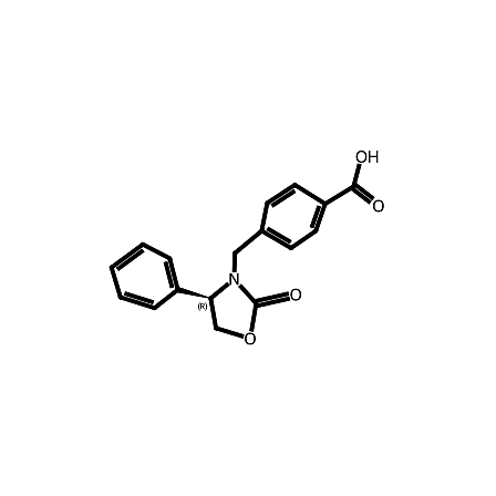 O=C(O)c1ccc(CN2C(=O)OC[C@H]2c2ccccc2)cc1